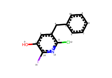 Oc1cc(Cc2ccccc2)c(Cl)nc1I